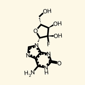 Nc1[nH]c(=O)nc2c1ncn2[C@@H]1O[C@H](CO)[C@@H](O)[C@]1(O)F